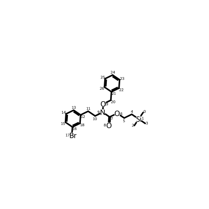 C[Si](C)(C)CCOC(=O)N(CCc1cccc(Br)c1)OCc1ccccc1